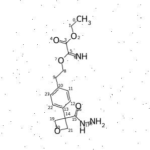 CCOC(=O)C(=N)OCCc1ccc(C2(C(=O)NN)COC2)cc1